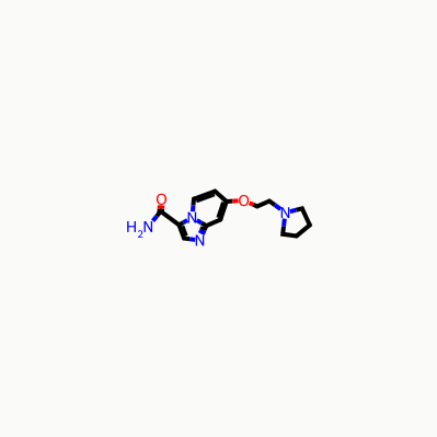 NC(=O)c1cnc2cc(OCCN3CCCC3)ccn12